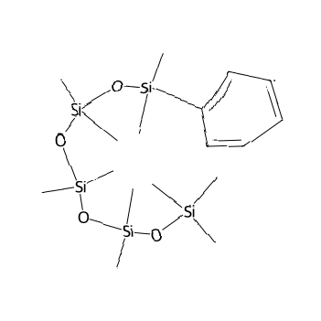 C[Si](C)(C)O[Si](C)(C)O[Si](C)(C)O[Si](C)(C)O[Si](C)(C)c1c[c]ccc1